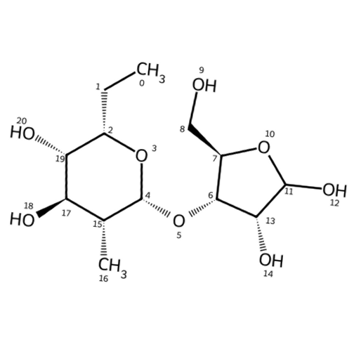 CC[C@@H]1O[C@H](O[C@@H]2[C@@H](CO)OC(O)[C@@H]2O)[C@H](C)[C@@H](O)[C@@H]1O